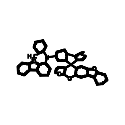 Cc1ccccc1N(c1ccc2c(c1)C1(c3ccccc3Oc3cc4c(cc31)oc1ccccc14)c1ccccc1-2)c1cccc2c1oc1ccccc12